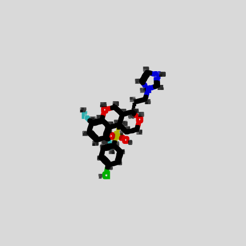 O=S(=O)(c1ccc(Cl)cc1)[C@@]12CCO[C@@H](CCn3ccnc3)C1COc1c(F)ccc(F)c12